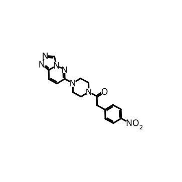 O=C(Cc1ccc([N+](=O)[O-])cc1)N1CCN(c2ccc3nncn3n2)CC1